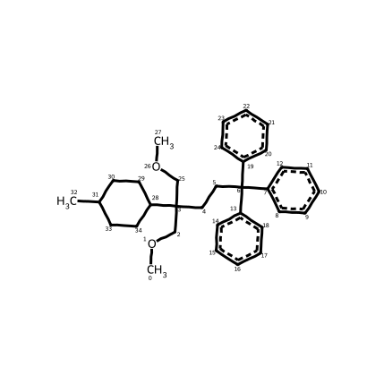 COCC(CCC(c1ccccc1)(c1ccccc1)c1ccccc1)(COC)C1CCC(C)CC1